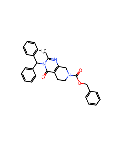 Cc1nc2c(c(=O)n1C(c1ccccc1)c1ccccc1)CCN(C(=O)OCc1ccccc1)C2